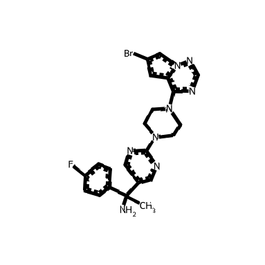 CC(N)(c1ccc(F)cc1)c1cnc(N2CCN(c3ncnn4cc(Br)cc34)CC2)nc1